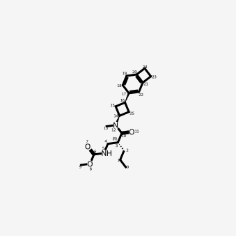 CCC[C@H](CNC(=O)OC)C(=O)N(C)[C@H]1C[C@@H](c2ccc3c(c2)CC3)C1